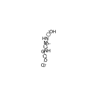 Cc1c(CN[C@H]2CC[C@@](C)(O)CC2)n(C)c2ccc(NC(=O)c3ccc(OC[C@@H]4CCCO4)cc3)cc12